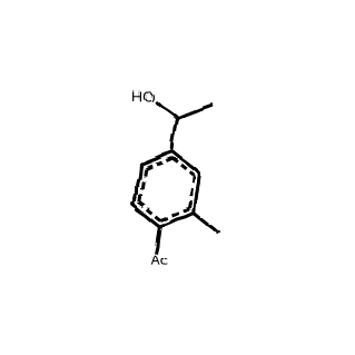 CC(=O)c1ccc(C(C)O)cc1C